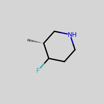 C[C@@H]1CNCCC1F